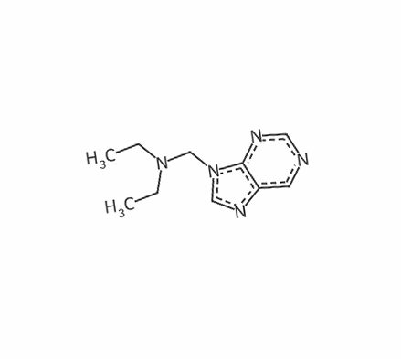 CCN(CC)Cn1cnc2cncnc21